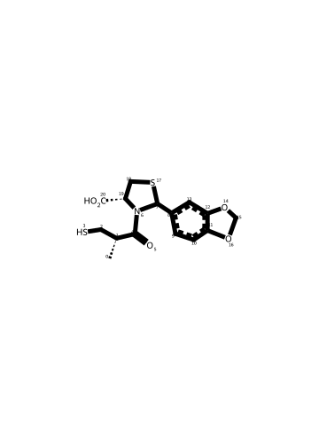 C[C@H](CS)C(=O)N1C(c2ccc3c(c2)OCO3)SC[C@H]1C(=O)O